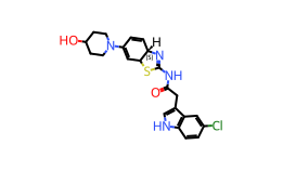 O=C(Cc1c[nH]c2ccc(Cl)cc12)NC1=N[C@H]2C=CC(N3CCC(O)CC3)=CC2S1